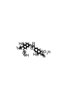 [3H]/N=N/c1c(SOOO)cc2cc(NC(=O)Nc3ccc4c(O)c(/N=N/[3H])c(S(=O)(=O)O)cc4c3)ccc2c1O